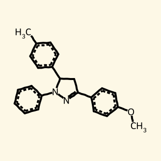 COc1ccc(C2=NN(c3ccccc3)C(c3ccc(C)cc3)C2)cc1